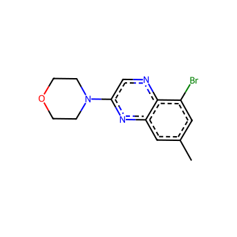 Cc1cc(Br)c2ncc(N3CCOCC3)nc2c1